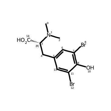 CN(C)[C@H](Cc1cc(Br)c(O)c(Br)c1)C(=O)O